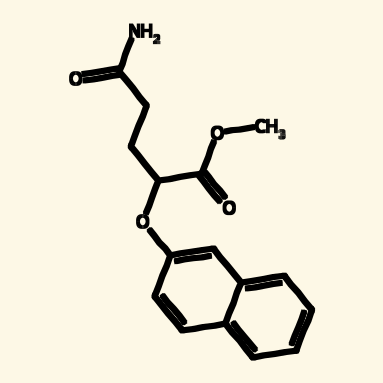 COC(=O)C(CCC(N)=O)Oc1ccc2ccccc2c1